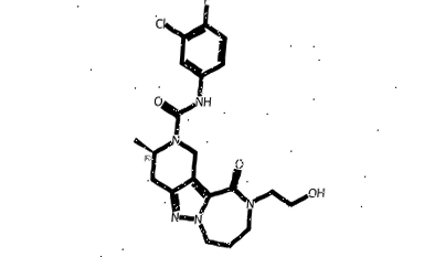 C[C@@H]1Cc2nn3c(c2CN1C(=O)Nc1ccc(F)c(Cl)c1)C(=O)N(CCO)CCC3